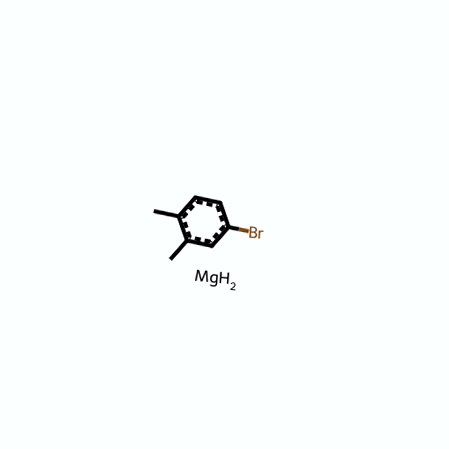 Cc1ccc(Br)cc1C.[MgH2]